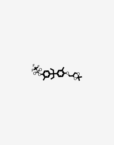 CCC(CC)(c1ccc(OCC2COC(C)(C)O2)c(C)c1)c1ccc(OS(=O)(=O)C(F)(F)F)c(C)c1